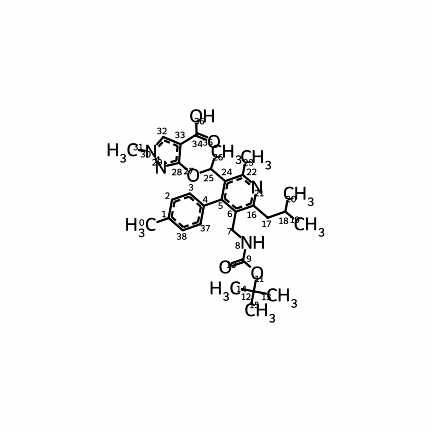 Cc1ccc(-c2c(CNC(=O)OC(C)(C)C)c(CC(C)C)nc(C)c2C(C)Oc2nn(C)cc2C(=O)O)cc1